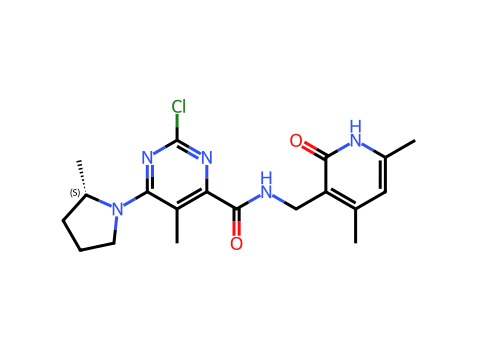 Cc1cc(C)c(CNC(=O)c2nc(Cl)nc(N3CCC[C@@H]3C)c2C)c(=O)[nH]1